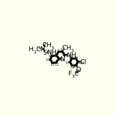 Cc1cc2c(NSN(C)C)cccc2nc1Nc1ccc(OC(F)(F)F)c(Cl)c1